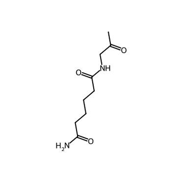 CC(=O)CNC(=O)CCCCC(N)=O